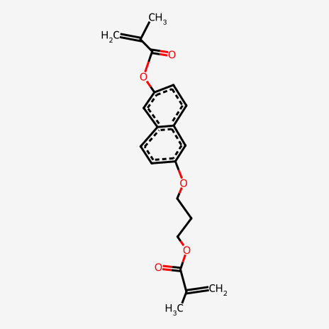 C=C(C)C(=O)OCCCOc1ccc2cc(OC(=O)C(=C)C)ccc2c1